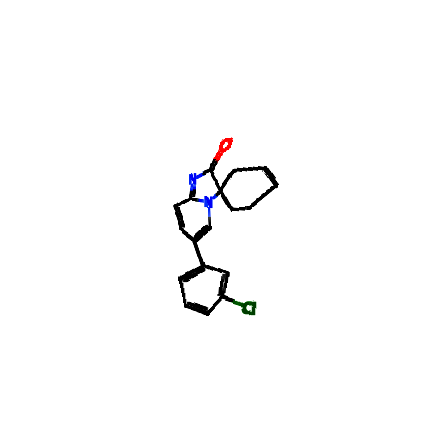 O=C1N=C2C=CC(c3cccc(Cl)c3)=CN2C12CCCCC2